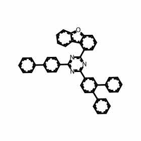 c1ccc(-c2ccc(-c3nc(-c4ccc(-c5ccccc5)c(-c5ccccc5)c4)nc(-c4cccc5oc6ccccc6c45)n3)cc2)cc1